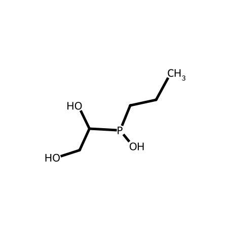 CCCP(O)C(O)CO